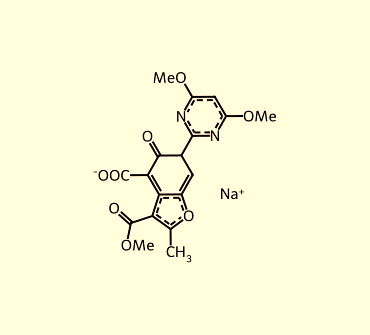 COC(=O)c1c(C)oc2c1=C(C(=O)[O-])C(=O)C(c1nc(OC)cc(OC)n1)C=2.[Na+]